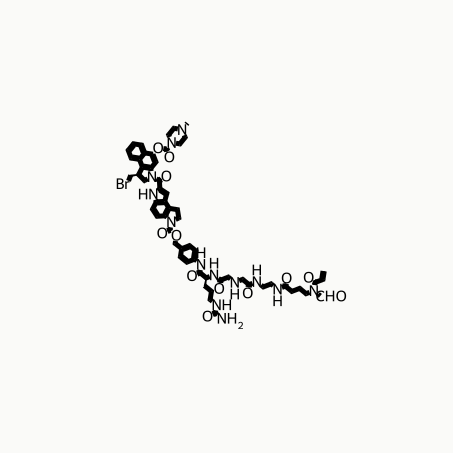 C=CC(=O)N(C=O)CCCC(=O)NCCNC(=O)CNCC(=O)N[C@@H](CCCNC(N)=O)C(=O)Nc1ccc(COC(=O)N2CCc3c2ccc2[nH]c(C(=O)N4C[C@@H](CBr)c5c4cc(OC(=O)N4CCN(C)CC4)c4ccccc54)cc32)cc1